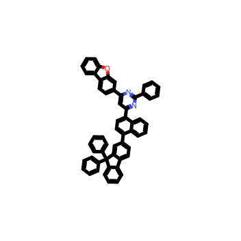 c1ccc(-c2nc(-c3ccc4c(c3)oc3ccccc34)cc(-c3ccc(-c4ccc5c(c4)C(c4ccccc4)(c4ccccc4)c4ccccc4-5)c4ccccc34)n2)cc1